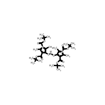 Cc1c(OBOc2c(C(=O)OC(C)(C)C)c(C)n(C(=O)OC(C)(C)C)c2C)c(C(=O)OC(C)(C)C)c(C)n1C(=O)OC(C)(C)C